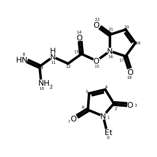 CCN1C(=O)C=CC1=O.N=C(N)NCC(=O)ON1C(=O)C=CC1=O